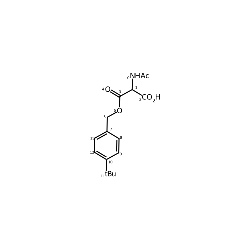 CC(=O)NC(C(=O)O)C(=O)OCc1ccc(C(C)(C)C)cc1